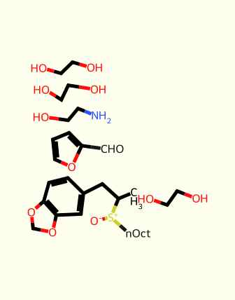 CCCCCCCC[S+]([O-])C(C)Cc1ccc2c(c1)OCO2.NCCO.O=Cc1ccco1.OCCO.OCCO.OCCO